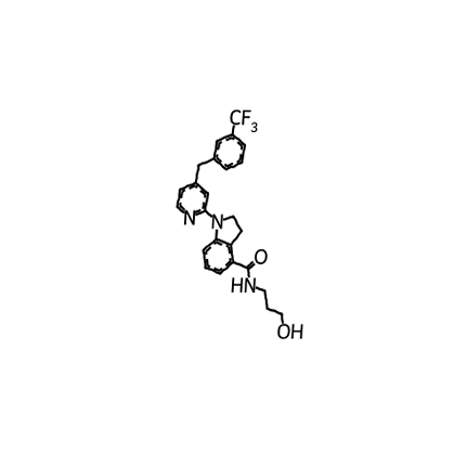 O=C(NCCCO)c1cccc2c1CCN2c1cc(Cc2cccc(C(F)(F)F)c2)ccn1